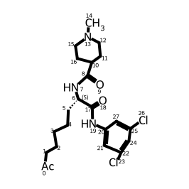 CC(=O)CCCCC[C@H](NC(=O)C1CCN(C)CC1)C(=O)Nc1cc(Cl)cc(Cl)c1